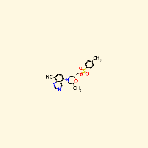 Cc1ccc(S(=O)(=O)OC[C@H]2CN(c3ccc(C#N)c4ncncc34)C[C@@H](C)O2)cc1